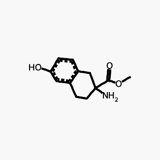 COC(=O)C1(N)CCc2cc(O)ccc2C1